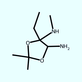 CCC1(NC)OC(C)(C)OC1N